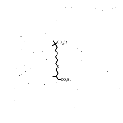 CCOC(=O)CC(C)CCSCCCSCCC(C)(C)C(=O)OCC